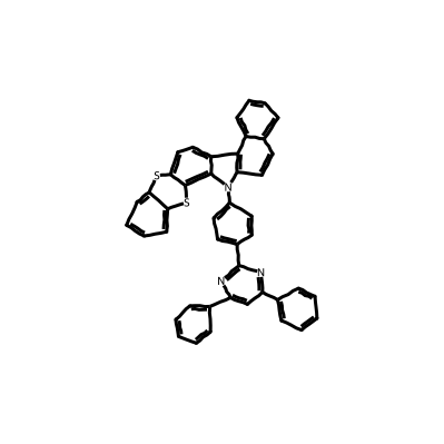 c1ccc(-c2cc(-c3ccccc3)nc(-c3ccc(-n4c5ccc6ccccc6c5c5ccc6c(c54)Sc4ccccc4S6)cc3)n2)cc1